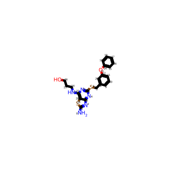 Nc1nc2nc(SCc3cccc(Oc4ccccc4)c3)nc(NCCCO)c2s1